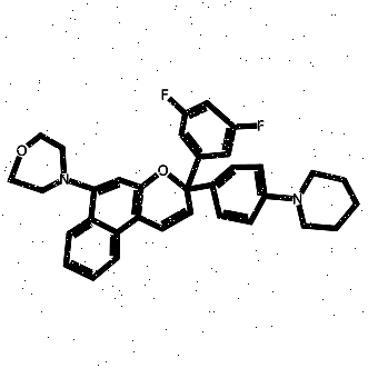 Fc1cc(F)cc(C2(c3ccc(N4CCCCC4)cc3)C=Cc3c(cc(N4CCOCC4)c4ccccc34)O2)c1